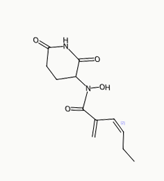 C=C(/C=C\CC)C(=O)N(O)C1CCC(=O)NC1=O